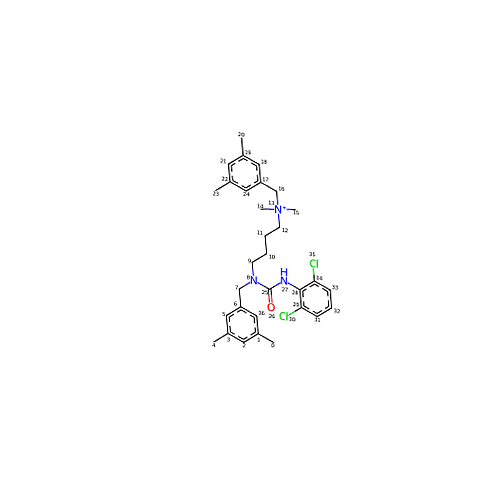 Cc1cc(C)cc(CN(CCCC[N+](C)(C)Cc2cc(C)cc(C)c2)C(=O)Nc2c(Cl)cccc2Cl)c1